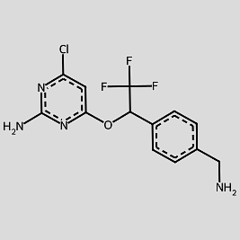 NCc1ccc(C(Oc2cc(Cl)nc(N)n2)C(F)(F)F)cc1